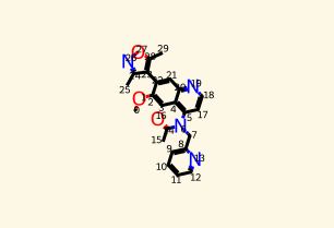 COc1cc2c(N(Cc3ccccn3)C(C)=O)ccnc2cc1-c1c(C)noc1C